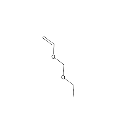 C=COCOCC